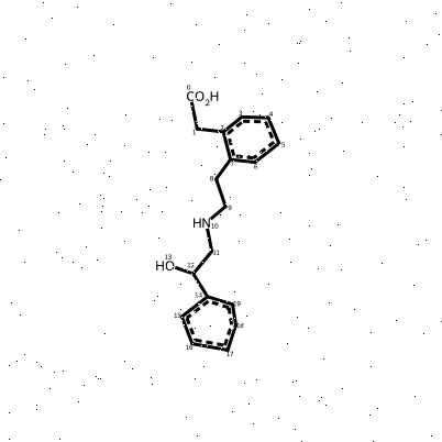 O=C(O)Cc1ccccc1CCNCC(O)c1ccccc1